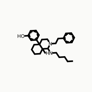 CCCCCNC1N(CCc2ccccc2)CCC2(c3cccc(O)c3)CCCCC12C